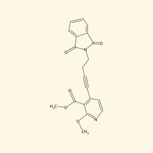 COC(=O)c1c(C#CCCN2C(=O)c3ccccc3C2=O)ccnc1OC